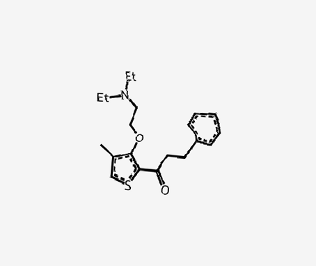 CCN(CC)CCOc1c(C)csc1C(=O)CCc1ccccc1